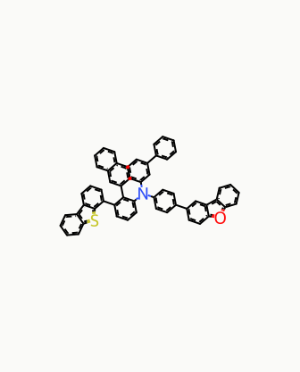 c1ccc(-c2cccc(N(c3ccc(-c4ccc5oc6ccccc6c5c4)cc3)c3cccc(-c4cccc5c4sc4ccccc45)c3-c3ccc4ccccc4c3)c2)cc1